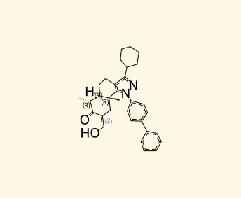 C[C@H]1C(=O)/C(=C\O)C[C@@]2(C)c3c(c(C4CCCCC4)nn3-c3ccc(-c4ccccc4)cc3)CC[C@H]12